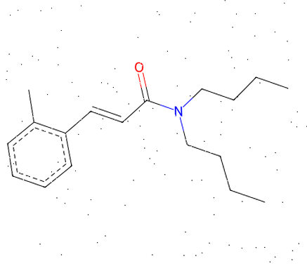 CCCCN(CCCC)C(=O)C=Cc1ccccc1C